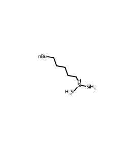 CCCCCCCCC[SiH]([SiH3])[SiH3]